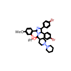 COc1ccc(C2=NC(c3ccc(Br)cc3)C(c3ccc(Br)cc3)N2C(=O)C2CCN(N3CCCCC3)CC2)c(OC(C)C)c1